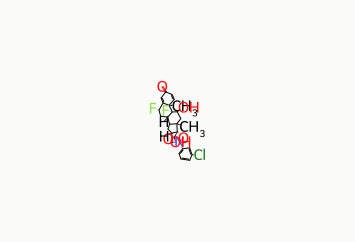 C[C@]12C=CC(=O)C=C1[C@@H](F)C[C@H]1C3C[C@H]4CN(c5cccc(Cl)c5)O[C@@]4(C(=O)O)[C@@]3(C)C[C@H](O)[C@@]12F